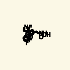 O=C(O)NCCc1cc(-c2cccnc2F)n(S(=O)(=O)c2cccc(F)c2F)c1